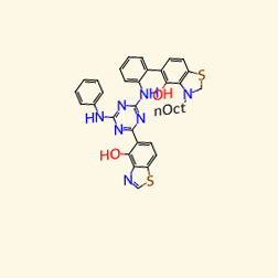 CCCCCCCCN1CSc2ccc(-c3ccccc3Nc3nc(Nc4ccccc4)nc(-c4ccc5scnc5c4O)n3)c(O)c21